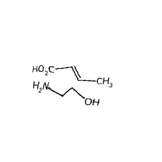 C/C=C/C(=O)O.NCCO